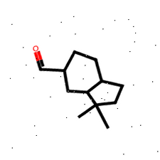 CC1(C)CCC2CCC(C=O)CC21